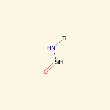 O=[SiH][NH][Ti]